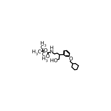 CC(C)(C)OC(=O)NCCC(CO)c1cccc(OCC2CCCCC2)c1